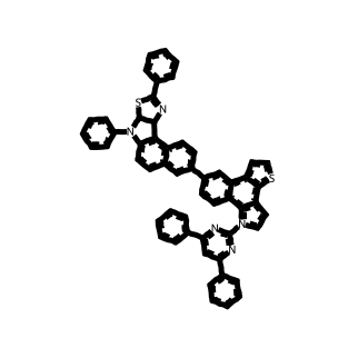 c1ccc(C2=NC3c4c(ccc5cc(-c6ccc7c(c6)c6ccsc6c6ccn(-c8nc(-c9ccccc9)cc(-c9ccccc9)n8)c76)ccc45)N(c4ccccc4)C3S2)cc1